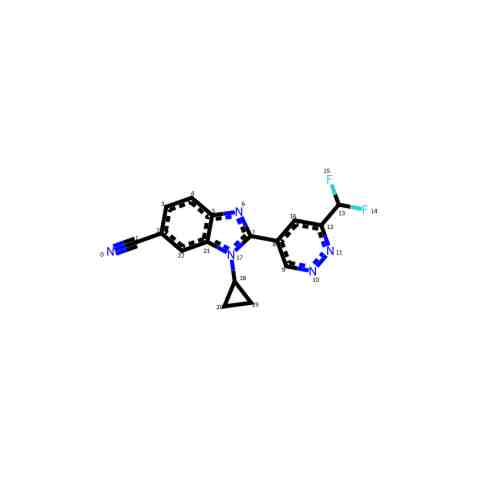 N#Cc1ccc2nc(-c3cnnc(C(F)F)c3)n(C3CC3)c2c1